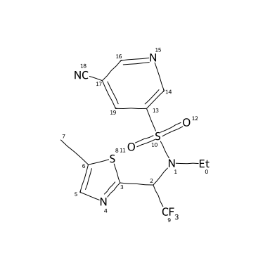 CCN(C(c1ncc(C)s1)C(F)(F)F)S(=O)(=O)c1cncc(C#N)c1